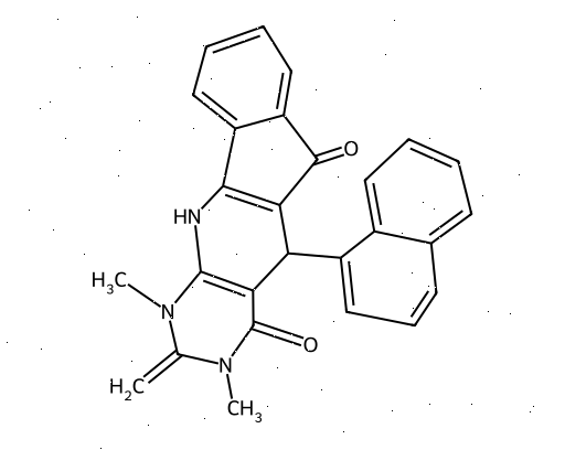 C=C1N(C)C(=O)C2=C(NC3=C(C(=O)c4ccccc43)C2c2cccc3ccccc23)N1C